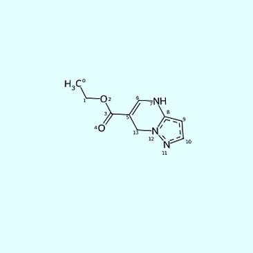 CCOC(=O)C1=CNc2ccnn2C1